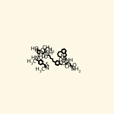 Cc1ncsc1-c1ccc([C@H](C)NC(=O)[C@@H]2C[C@@H](O)CN2C(=O)[C@@H](NC(=O)CCCCc2ccc(CO[C@H](C)[C@H](CCC(N)=O)NC(=O)[C@@H]3Cc4cccc5c4N3C(O)CCC5)cc2)C(C)(C)C)cc1